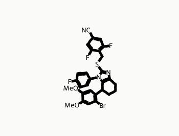 COc1cc(Br)c(C2CCCc3nc(SCc4c(F)cc(C#N)cc4F)n(-c4ccc(F)cc4)c32)cc1OC